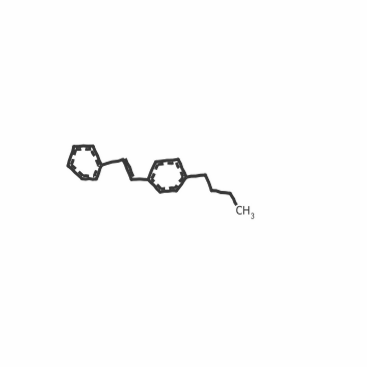 CCCCc1ccc(/C=C/c2ccccc2)cc1